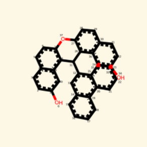 Oc1ccc2ccc3c(c2c1)C(c1cc2ccccc2c2ccccc12)c1c(ccc2ccc(O)cc12)O3